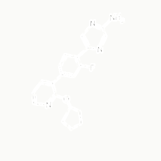 Nc1cnc(-c2ccc(-c3cccnc3OC3CCCC3)cc2F)cn1